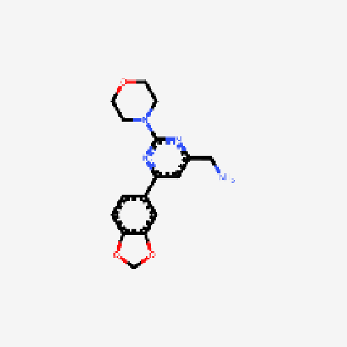 NCc1cc(-c2ccc3c(c2)OCO3)nc(N2CCOCC2)n1